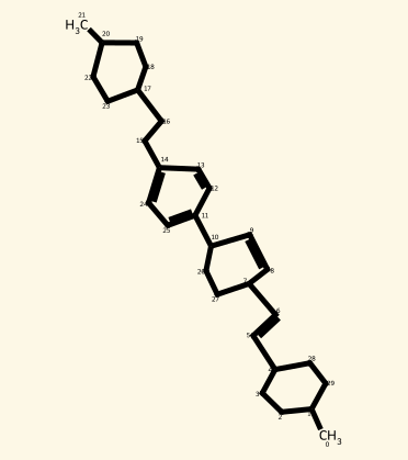 CC1CCC(/C=C/C2C=CC(c3ccc(CCC4CCC(C)CC4)cc3)CC2)CC1